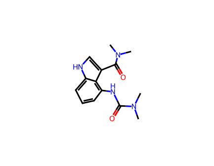 CN(C)C(=O)Nc1cccc2[nH]cc(C(=O)N(C)C)c12